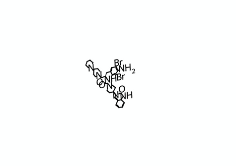 Nc1c(Br)cc(C[C@@H](NC(=O)N2CCC(N3C=C4C=CC=CC4NC3=O)CC2)C(=O)N2CCC(N3CCCCC3)CC2)cc1Br